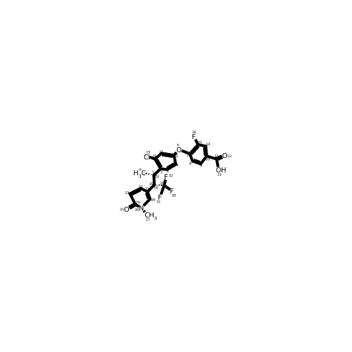 C[C@H](c1ccc(Oc2ccc(C(=O)O)cc2F)cc1Cl)[C@@H](c1ccc(=O)n(C)c1)C(F)(F)F